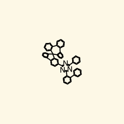 c1ccc(-c2nc(-c3ccc4c(c3)C3(c5ccccc5-c5ccccc5-c5ccccc53)c3ccccc3-4)nc(-c3ccccc3-c3ccccc3)n2)cc1